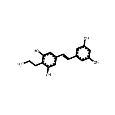 CCCc1c(O)cc(C=Cc2cc(O)cc(O)c2)cc1O